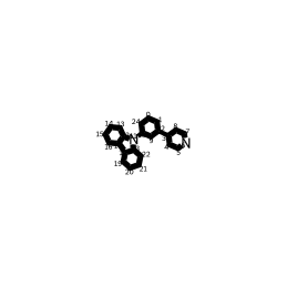 c1cc(-c2ccncc2)cc(-n2c3ccccc3c3ccccc32)c1